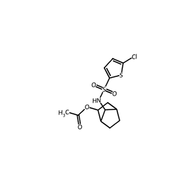 CC(=O)OC1CC2CCC1C2NS(=O)(=O)c1ccc(Cl)s1